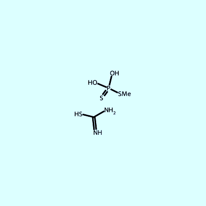 CSP(O)(O)=S.N=C(N)S